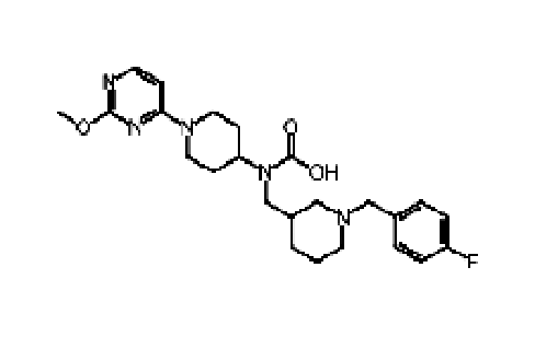 COc1nccc(N2CCC(N(CC3CCCN(Cc4ccc(F)cc4)C3)C(=O)O)CC2)n1